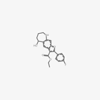 CCOC(=O)c1c(-c2ccc(F)cc2)oc2cc3c(cc12)C(O)CCCN3